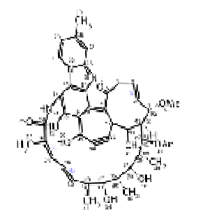 CO[C@H]1/C=C/CC(=O)C2=c3c4c(O)c(c5c3nc3cc(C)ccn35)NC(=O)/C(C)=C\C=C\[C@H](C)[C@H](O)[C@@H](C)[C@@H](O)[C@@H](C)[C@H](OC(C)=O)[C@H]1C(C)C2C#CC=4O